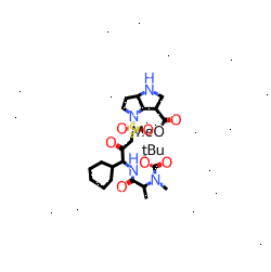 COC(=O)C1CNC2CCN(S(=O)(=O)CC(=O)C(NC(=O)C(C)N(C)C(=O)OC(C)(C)C)C3CCCCC3)C21